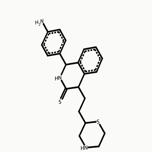 Nc1ccc(C2NC(=S)C(CCC3CNCCS3)c3ccccc32)cc1